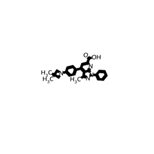 Cc1nn(-c2ccccc2)c2nc(C(=O)O)cc(-c3ccc(N4CC(C)(C)C4)cc3)c12